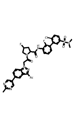 CC(=O)c1nn(CC(=O)N2CC(F)CC2C(=O)Nc2cccc(-c3cc(S(=O)(=O)N(C)C)ccc3Cl)c2F)c2ccc(-c3cnc(C)nc3)cc12